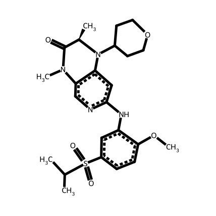 COc1ccc(S(=O)(=O)C(C)C)cc1Nc1cc2c(cn1)N(C)C(=O)[C@@H](C)N2C1CCOCC1